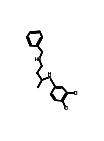 CC(CCNCc1ccccc1)Nc1ccc(Cl)c(Cl)c1